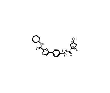 C[C@H](NC(=O)[C@@H]1C[C@@H](O)CN1C)c1ccc(-c2cnc(C(=O)NC3CCCCC3)s2)cc1